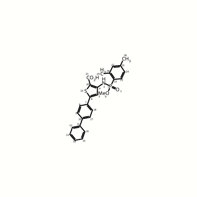 COP(=O)(Nc1cc(-c2ccc(-c3ccccc3)cc2)sc1C(=O)O)c1ccc(C)cc1C